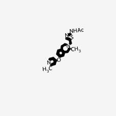 CC(=O)Nc1ncc(CN2CCc3ccc(Oc4ccnc(C)c4)cc3C[C@@H]2C)s1